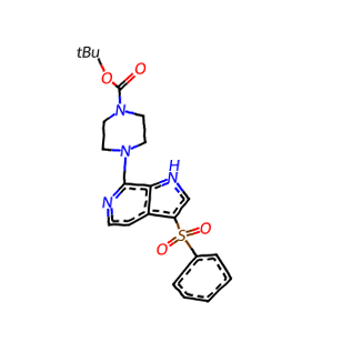 CC(C)(C)OC(=O)N1CCN(c2nccc3c(S(=O)(=O)c4ccccc4)c[nH]c23)CC1